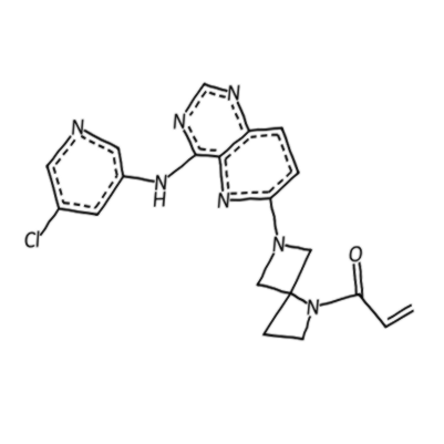 C=CC(=O)N1CCC12CN(c1ccc3ncnc(Nc4cncc(Cl)c4)c3n1)C2